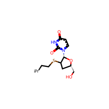 CC(C)CCSC1C[C@@H](CO)O[C@H]1n1ccc(=O)[nH]c1=O